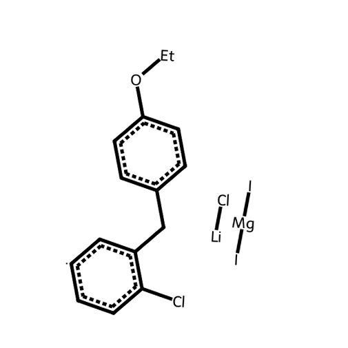 CCOc1ccc(Cc2c[c]ccc2Cl)cc1.[I][Mg][I].[Li][Cl]